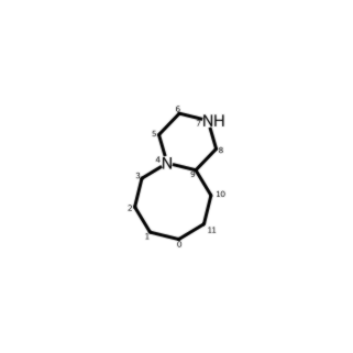 C1CCCN2CCNCC2CC1